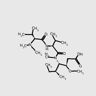 CC[C@H](C)[C@@H]([C@@H](CC(=O)O)OC)N(C)C(=O)[C@@H](NC(=O)[C@H](C(C)C)N(C)C)C(C)C